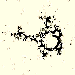 CC(C)(C)OC(=O)NC[C@H](O)C[C@@H]1NC(=O)[C@@H](NC(=O)OC(C)(C)C)Cc2cc(ccc2O)-c2ccc(O)c(c2)C[C@H](OC(=O)O)NC1=O